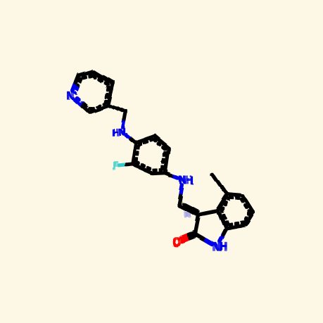 Cc1cccc2c1/C(=C\Nc1ccc(NCc3cccnc3)c(F)c1)C(=O)N2